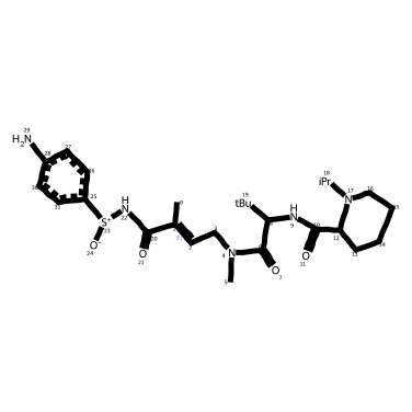 C/C(=C\CN(C)C(=O)C(NC(=O)C1CCCCN1C(C)C)C(C)(C)C)C(=O)N[S+]([O-])c1ccc(N)cc1